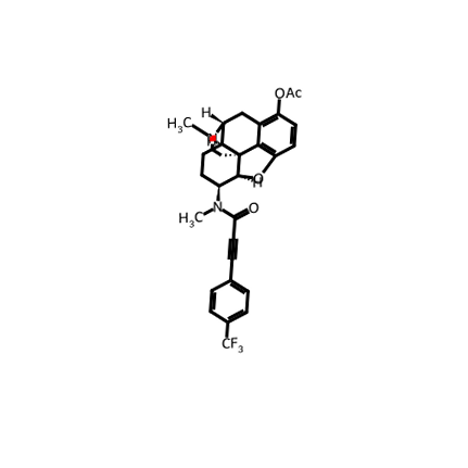 CC(=O)Oc1ccc2c3c1C[C@@H]1[C@@H]4CC[C@H](N(C)C(=O)C#Cc5ccc(C(F)(F)F)cc5)[C@H](O2)[C@]34CCN1C